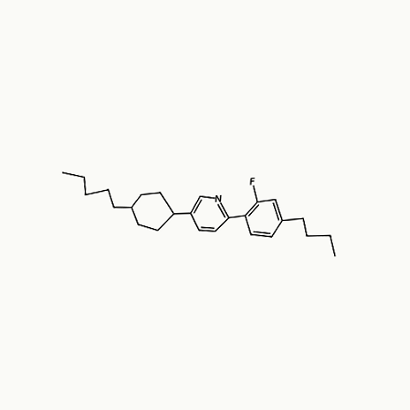 CCCCCC1CCC(c2ccc(-c3ccc(CCCC)cc3F)nc2)CC1